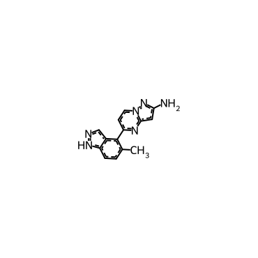 Cc1ccc2[nH]ncc2c1-c1ccn2nc(N)cc2n1